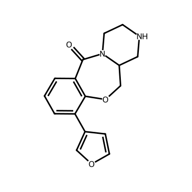 O=C1c2cccc(-c3ccoc3)c2OCC2CNCCN12